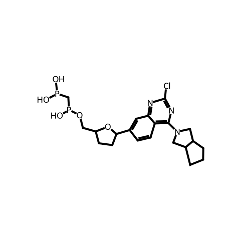 OP(O)CP(O)OCC1CCC(c2ccc3c(N4CC5CCCC5C4)nc(Cl)nc3c2)O1